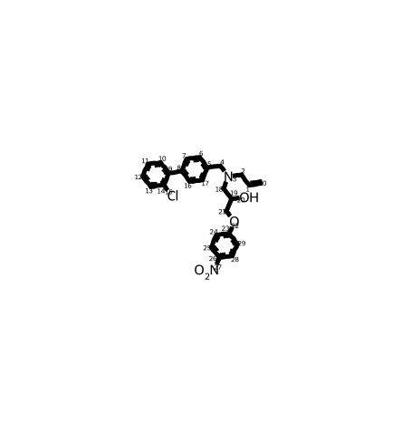 C=CCN(Cc1ccc(-c2ccccc2Cl)cc1)CC(O)COc1ccc([N+](=O)[O-])cc1